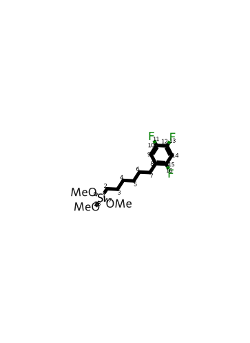 CO[Si](CCCCCCc1cc(F)c(F)cc1F)(OC)OC